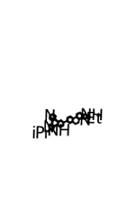 CCc1nc2c3c(ccc2[nH]1)-c1ccc(-c2ccc4c(c2)c2ccncc2c2nc(C(C)C)[nH]c42)cc1CC3